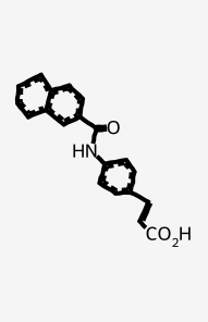 O=C(O)/C=C/c1ccc(NC(=O)c2ccc3ccccc3c2)cc1